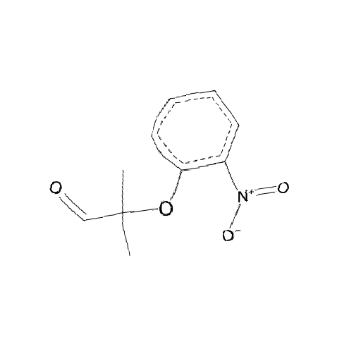 CC(C)(C=O)Oc1ccccc1[N+](=O)[O-]